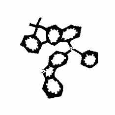 CC1(C)c2ccccc2-c2cc3c(N(c4ccccc4)c4ccc5sc6ccccc6c5c4)cccc3cc21